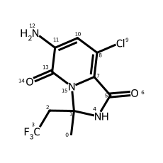 CC1(CC(F)(F)F)NC(=O)c2c(Cl)cc(N)c(=O)n21